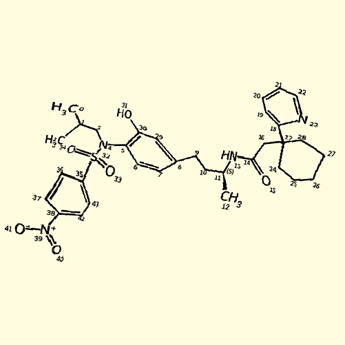 CC(C)CN(c1ccc(CC[C@H](C)NC(=O)CC2(c3ccccn3)CCCCC2)cc1O)S(=O)(=O)c1ccc([N+](=O)[O-])cc1